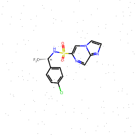 O=S(=O)(N[C@H](c1ccc(Cl)cc1)C(F)(F)F)c1cn2ccnc2cn1